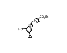 CCOC(=O)c1cn(Cc2cn3cc(C4CC4)cc(CO)c3n2)nn1